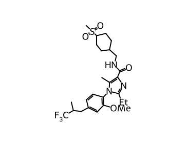 CCc1nc(C(=O)NCC2CCC(S(C)(=O)=O)CC2)c(C)n1-c1ccc(CC(C)C(F)(F)F)cc1OC